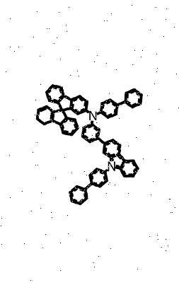 C1=CC2=C(CC1)c1ccccc1C21c2ccccc2-c2ccc(N(c3ccc(-c4ccccc4)cc3)c3cccc(-c4ccc5c6ccccc6n(-c6ccc(-c7ccccc7)cc6)c5c4)c3)cc21